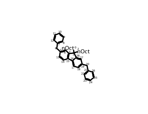 CCCCCCCCC1(CCCCCCCC)c2cc(Cc3ccccc3)ccc2-c2ccc(Cc3ccccc3)cc21